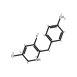 Cc1ccc(CC2=C(F)C=C(Cl)CN2)cc1